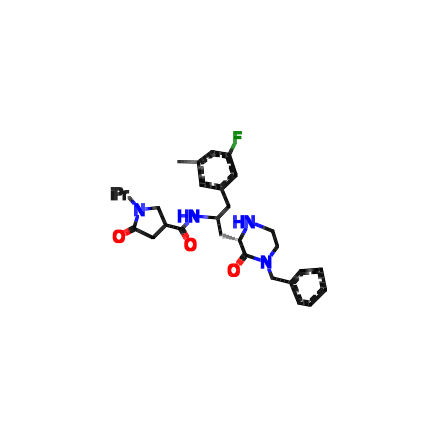 Cc1cc(F)cc(CC(C[C@@H]2NCCN(Cc3ccccc3)C2=O)NC(=O)C2CC(=O)N(C(C)C)C2)c1